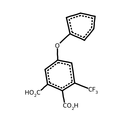 O=C(O)c1cc(Oc2ccccc2)cc(C(F)(F)F)c1C(=O)O